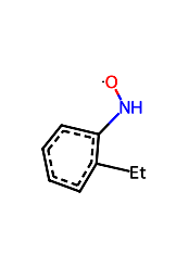 CCc1ccccc1N[O]